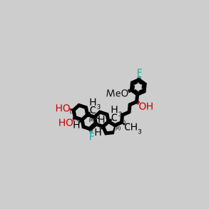 COc1cc(F)ccc1C(O)CCC[C@@H](C)[C@H]1CC[C@H]2C3=C(F)C[C@H]4[C@@H](O)[C@@H](O)CC[C@]4(C)[C@H]3CC[C@]12C